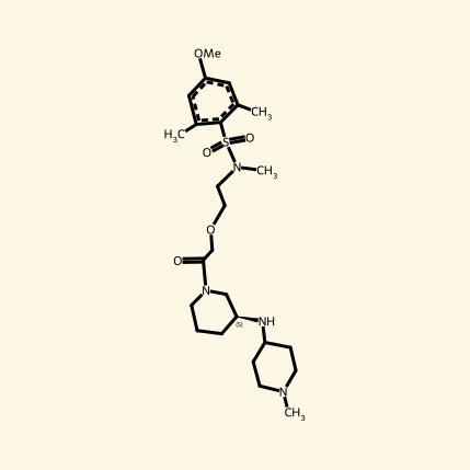 COc1cc(C)c(S(=O)(=O)N(C)CCOCC(=O)N2CCC[C@H](NC3CCN(C)CC3)C2)c(C)c1